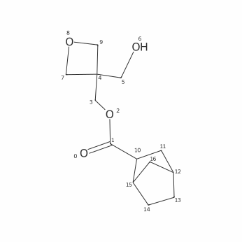 O=C(OCC1(CO)COC1)C1CC2CCC1C2